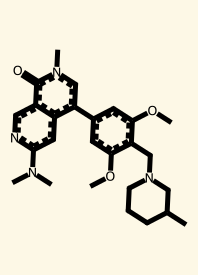 COc1cc(-c2cn(C)c(=O)c3cnc(N(C)C)cc23)cc(OC)c1CN1CCCC(C)C1